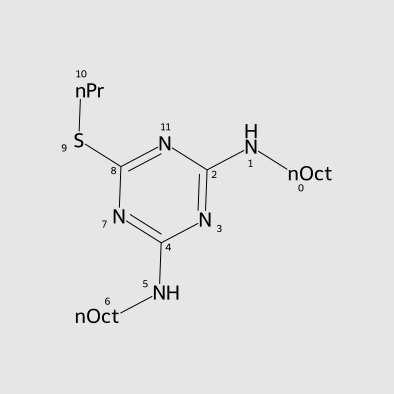 CCCCCCCCNc1nc(NCCCCCCCC)nc(SCCC)n1